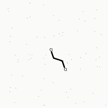 Cl[C]CCl